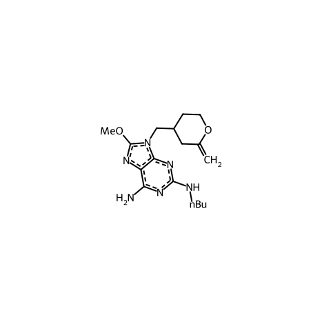 C=C1CC(Cn2c(OC)nc3c(N)nc(NCCCC)nc32)CCO1